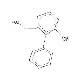 OCc1cccc(O)c1-c1ccccc1